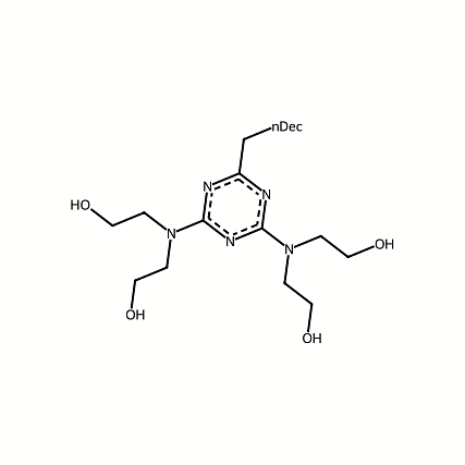 CCCCCCCCCCCc1nc(N(CCO)CCO)nc(N(CCO)CCO)n1